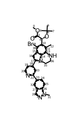 COC(=O)[C@@H](OC(C)(C)C)c1c(C)c2c3c(cc(-c4ccnc(-c5ccc6c(cnn6C)c5)c4)n3CCN2)c1Br